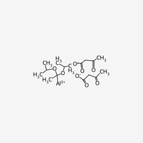 CC(=O)CC(=O)[O-].CC(=O)CC(=O)[O-].CC(C)O[C](C)([Al+2])OC(C)C